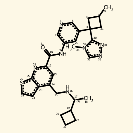 CC1CC(c2cncc(NC(=O)c3cc(CN[C@@H](C)C4CCC4)c4ccsc4n3)c2)(c2nncn2C)C1